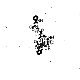 C[C@H](N)C(=O)N[C@@H](Cc1ccccc1)C(=O)N[C@@H](CO)C(=O)NCC(=O)N[C@@H](CCCNC(=N)N)C(=O)NCC(=O)N[C@@H](Cc1c[nH]c2ccccc12)C(=O)O